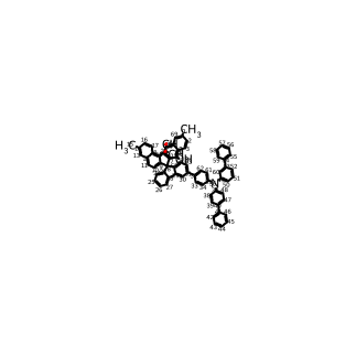 Cc1ccc2c(O)c(C3(c4ccc5cc(C)ccc5c4C(C)C)c4ccccc4-c4cc(-c5ccc(N(c6ccc(-c7ccccc7)cc6)c6cccc(-c7ccccc7)c6)cc5)ccc43)ccc2c1